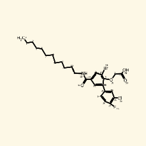 CCCCCCCCCCCCNC(=O)c1cc(Br)c(OCC(=O)O)c(-c2ccc(F)c(Cl)c2)c1